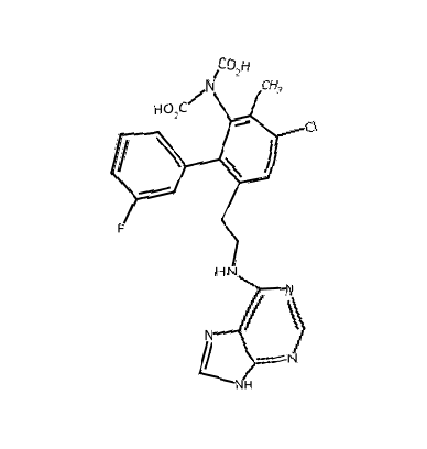 Cc1c(Cl)cc(CCNc2ncnc3[nH]cnc23)c(-c2cccc(F)c2)c1N(C(=O)O)C(=O)O